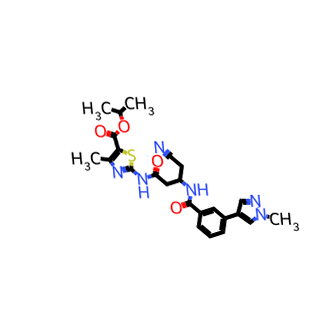 Cc1nc(NC(=O)CC(CC#N)NC(=O)c2cccc(-c3cnn(C)c3)c2)sc1C(=O)OC(C)C